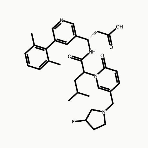 Cc1cccc(C)c1-c1cncc([C@H](CC(=O)O)NC(=O)C(CC(C)C)n2cc(CN3CCC(F)C3)ccc2=O)c1